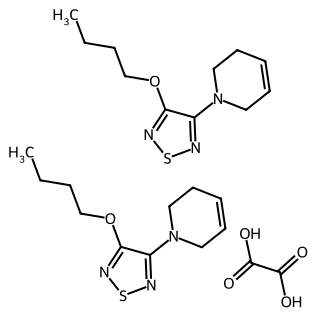 CCCCOc1nsnc1N1CC=CCC1.CCCCOc1nsnc1N1CC=CCC1.O=C(O)C(=O)O